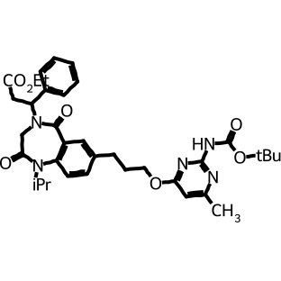 CCOC(=O)CC(c1ccccc1)N1CC(=O)N(C(C)C)c2ccc(CCCOc3cc(C)nc(NC(=O)OC(C)(C)C)n3)cc2C1=O